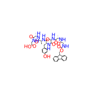 CC(NC(=O)[C@H](C)NC(=O)[C@H](C)NC(=O)OCC1c2ccccc2-c2ccccc21)C(=O)N[C@@H](Cc1ccc(O)cc1)C(=O)N[C@@H](C)C(=O)N[C@@H](C)C(=O)NCC(=O)O